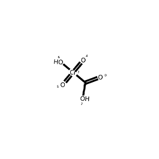 O=[C](O)[Cr](=[O])(=[O])[OH]